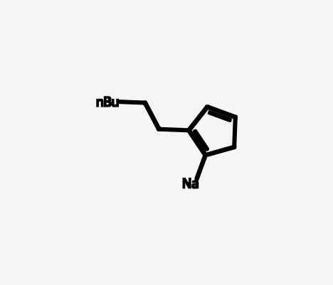 CCCCCCC1=[C]([Na])CC=C1